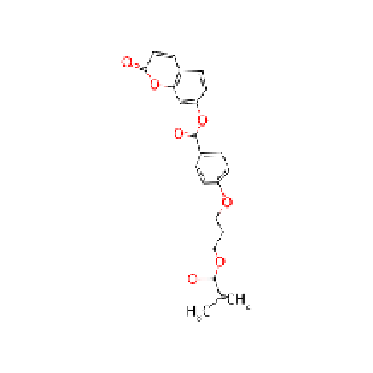 C=C(C)C(=O)OCCCOc1ccc(C(=O)Oc2ccc3ccc(=O)oc3c2)cc1